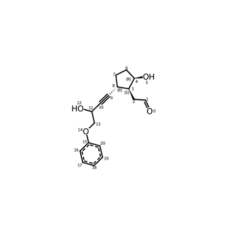 O=CC[C@@H]1[C@H](O)CC[C@H]1C#CC(O)COc1ccccc1